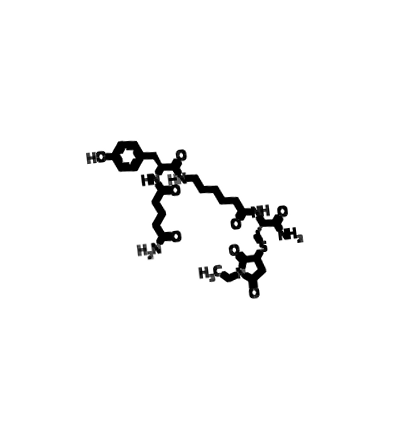 CCN1C(=O)CC(SC[C@H](NC(=O)CCCCCNC(=O)[C@H](Cc2ccc(O)cc2)NC(=O)CCCC(N)=O)C(N)=O)C1=O